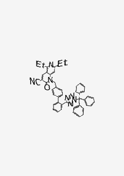 CCc1cc2c(cc(C#N)c(=O)n2Cc2ccc(-c3ccccc3-c3nnn(C(c4ccccc4)(c4ccccc4)c4ccccc4)n3)cc2)c(CC)n1